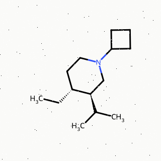 CC[C@@H]1CCN(C2CCC2)C[C@H]1C(C)C